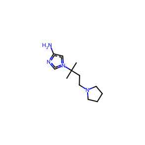 CC(C)(CCN1CCCC1)n1cnc(N)c1